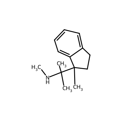 CNC(C)(C)C1(C)CCc2ccccc21